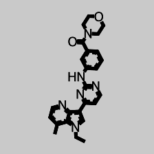 CCn1cc(-c2ccnc(Nc3cccc(C(=O)N4CCOCC4)c3)n2)c2nccc(C)c21